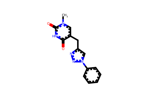 Cn1cc(Cc2cn(-c3ccccc3)nn2)c(=O)[nH]c1=O